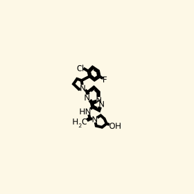 C=C(Nc1cnn2ccc(N3CCCC3c3cc(F)ccc3Cl)nc12)N1CCC(O)CC1